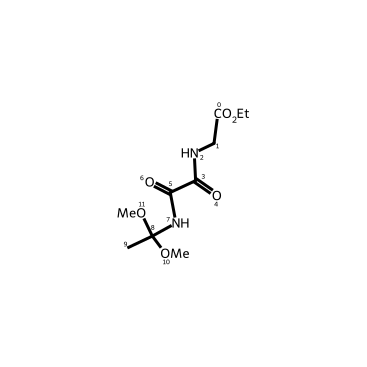 CCOC(=O)CNC(=O)C(=O)NC(C)(OC)OC